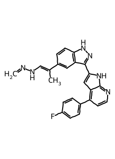 C=NN/C=C(\C)c1ccc2[nH]nc(-c3cc4c(-c5ccc(F)cc5)ccnc4[nH]3)c2c1